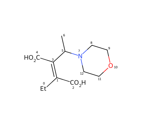 CCC(C(=O)O)=C(C(=O)O)C(C)N1CCOCC1